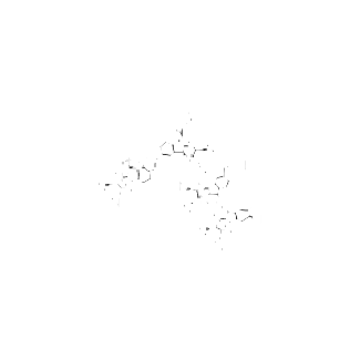 C=CCON=C1c2ccc(Cl)cc2-c2nc(C#N)c(C#N)nc21.CCc1ccc2c(c1)-c1nc(C#N)c(C#N)nc1C2=O.Cc1c(F)ccc2c1C(=O)c1nc(C#N)c(C#N)nc1-2.N#Cc1nc2c(nc1C#N)-c1cc(Cl)c(Cl)cc1C2=O